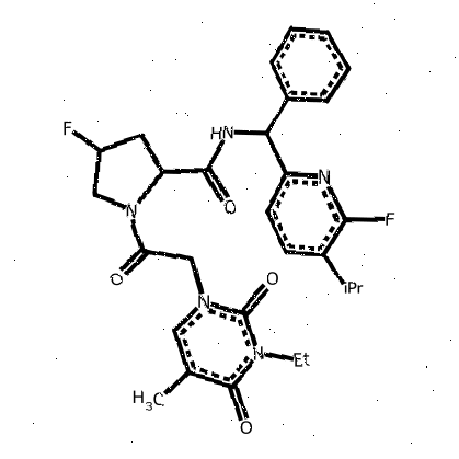 CCn1c(=O)c(C)cn(CC(=O)N2CC(F)CC2C(=O)NC(c2ccccc2)c2ccc(C(C)C)c(F)n2)c1=O